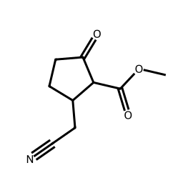 COC(=O)C1C(=O)CCC1CC#N